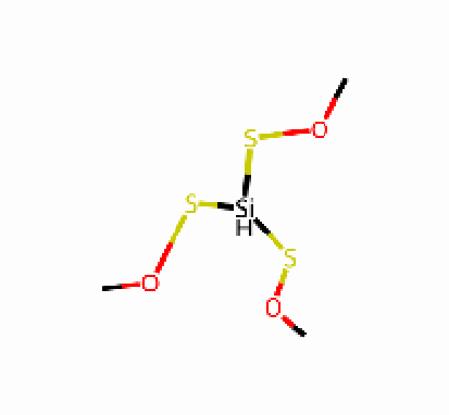 COS[SiH](SOC)SOC